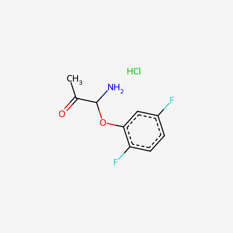 CC(=O)C(N)Oc1cc(F)ccc1F.Cl